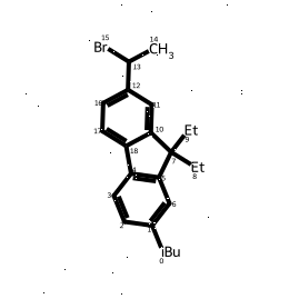 CCC(C)c1ccc2c(c1)C(CC)(CC)c1cc(C(C)Br)ccc1-2